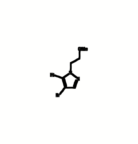 CCc1c(Br)cnn1CCOC